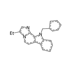 CCc1cnc2c3c(ccn12)c1ccccc1n3Cc1ccccc1